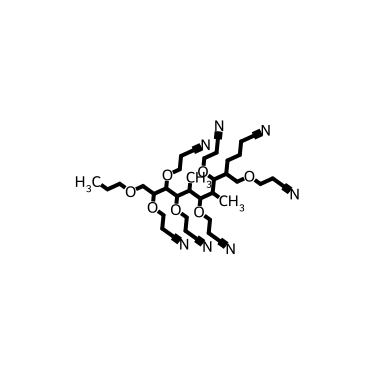 CCCOCC(OCCC#N)C(OCCC#N)C(OCCC#N)C(C)C(OCCC#N)C(C)C(OCCC#N)C(CCCC#N)COCCC#N